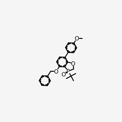 COc1ccc(-c2ccc(OCc3ccccc3)c3c2OCP3(=O)C(C)(C)C)cc1